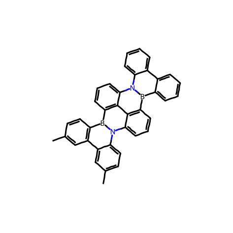 Cc1ccc2c(c1)-c1cc(C)ccc1N1B2c2cccc3c2-c2c(cccc21)B1c2ccccc2-c2ccccc2N13